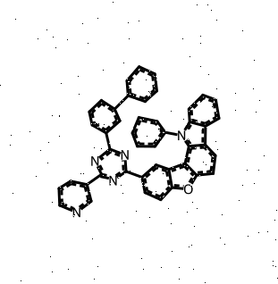 c1ccc(-c2cccc(-c3nc(-c4cccnc4)nc(-c4ccc5oc6ccc7c8ccccc8n(-c8ccccc8)c7c6c5c4)n3)c2)cc1